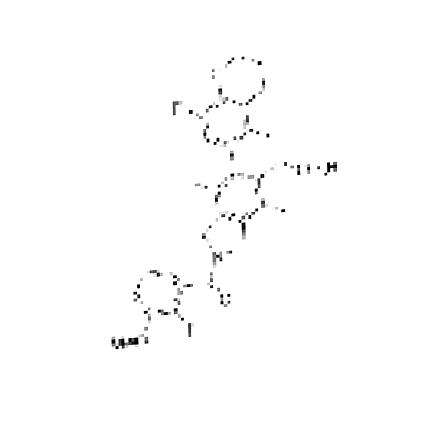 COc1cccc(C(=O)N2Cc3c(C)c(CC(=O)O)c(-c4cc(F)c5c(c4C)CCCO5)c(C)c3C2)c1F